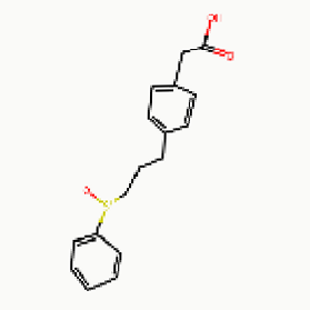 O=C(O)Cc1ccc(CCC[S+]([O-])c2ccccc2)cc1